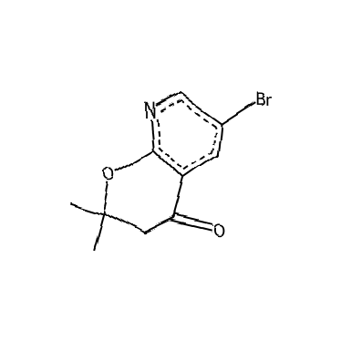 CC1(C)CC(=O)c2cc(Br)cnc2O1